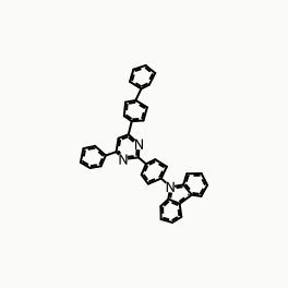 c1ccc(-c2ccc(-c3cc(-c4ccccc4)nc(-c4ccc(-n5c6ccccc6c6ccccc65)cc4)n3)cc2)cc1